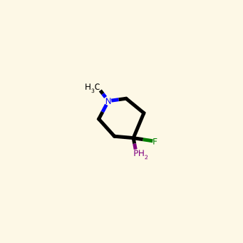 CN1CCC(F)(P)CC1